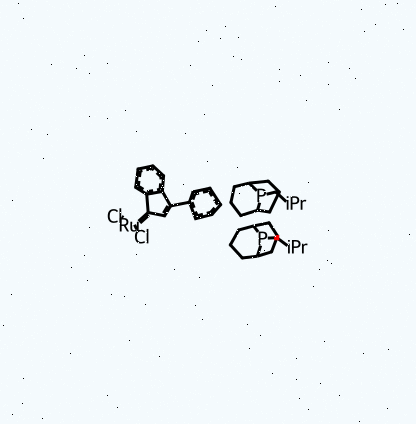 CC(C)CP1C2CCCC1CCC2.CC(C)CP1C2CCCC1CCC2.[Cl][Ru]([Cl])=[C]1C=C(c2ccccc2)c2ccccc21